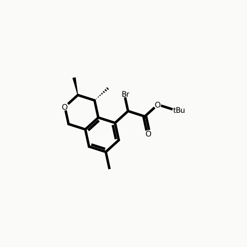 Cc1cc2c(c(C(Br)C(=O)OC(C)(C)C)c1)[C@@H](C)[C@H](C)OC2